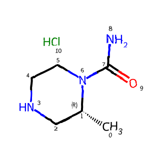 C[C@@H]1CNCCN1C(N)=O.Cl